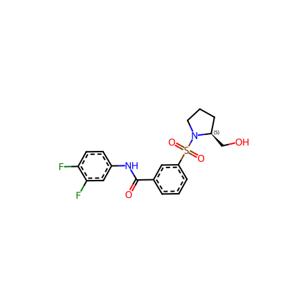 O=C(Nc1ccc(F)c(F)c1)c1cccc(S(=O)(=O)N2CCC[C@H]2CO)c1